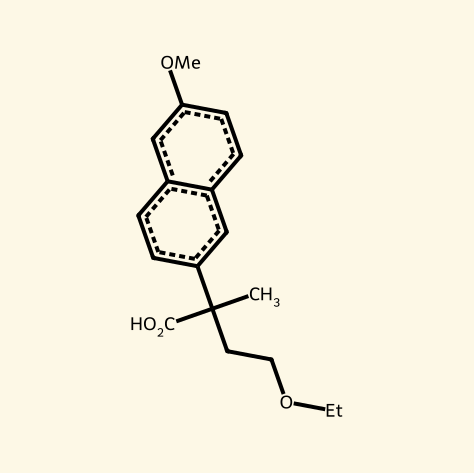 CCOCCC(C)(C(=O)O)c1ccc2cc(OC)ccc2c1